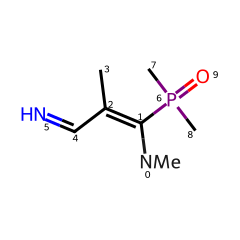 CN/C(=C(/C)C=N)P(C)(C)=O